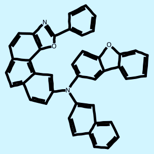 c1ccc(-c2nc3ccc4ccc5ccc(N(c6ccc7ccccc7c6)c6ccc7oc8ccccc8c7c6)cc5c4c3o2)cc1